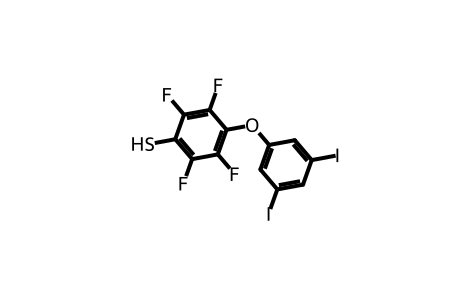 Fc1c(F)c(Oc2cc(I)cc(I)c2)c(F)c(F)c1S